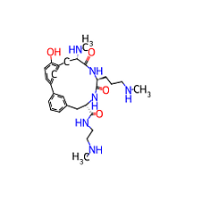 CNCCC[C@@H]1NC(=O)[C@@H](NC)Cc2cc(ccc2O)-c2cccc(c2)C[C@@H](C(=O)NCCNC)NC1=O